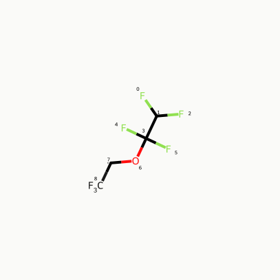 FC(F)C(F)(F)O[CH]C(F)(F)F